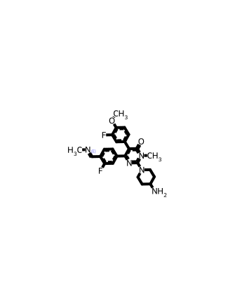 C/N=C/c1ccc(-c2nc(N3CCC(N)CC3)n(C)c(=O)c2-c2ccc(OC)c(F)c2)cc1F